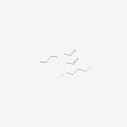 C=CC.C=CC.CCCCOC.OCCO